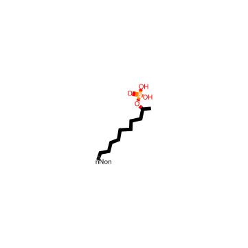 CCCCCCCCCCCCCCCCCC(C)OP(=O)(O)O